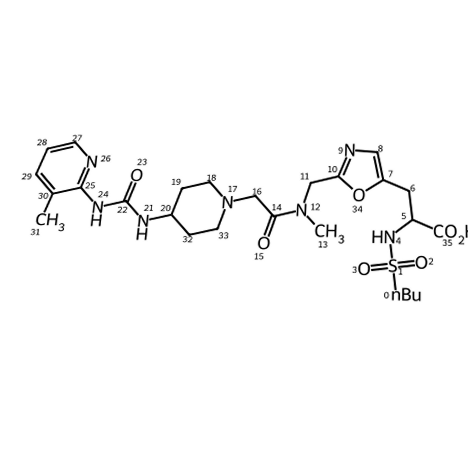 CCCCS(=O)(=O)NC(Cc1cnc(CN(C)C(=O)CN2CCC(NC(=O)Nc3ncccc3C)CC2)o1)C(=O)O